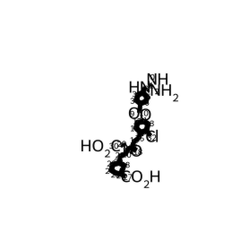 N=C(N)Nc1ccc(C(=O)Oc2ccc(CCC(=O)N(CCc3cccc(C(=O)O)c3)CC(=O)O)c(Cl)c2)cc1